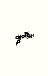 CC1CC1(C)NC(=O)n1c(N(C)C2CCN(c3nc4ccccc4n3Cc3ccc(F)cc3)CC2)nccc1=O